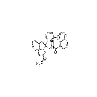 Cc1cccc(C(=O)NCC(Cc2ccccc2)(c2cccc(OC(F)(F)F)c2)c2cccc(OC(F)(F)F)c2)c1